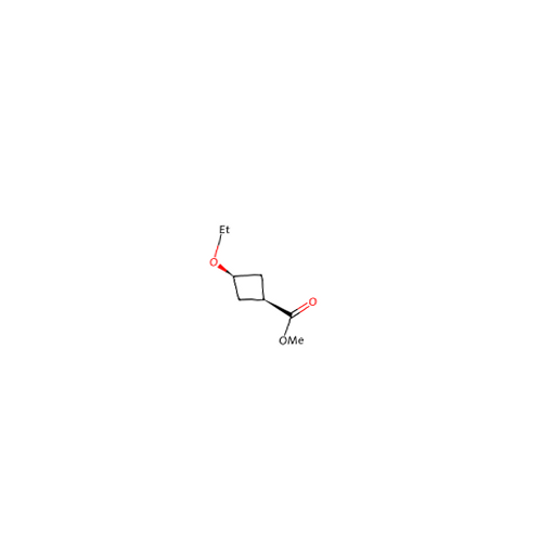 CCO[C@H]1C[C@@H](C(=O)OC)C1